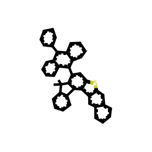 CC1(C)c2ccccc2-c2c1c(-c1c3ccccc3c(-c3ccccc3)c3ccccc13)cc1sc3cc4ccccc4cc3c21